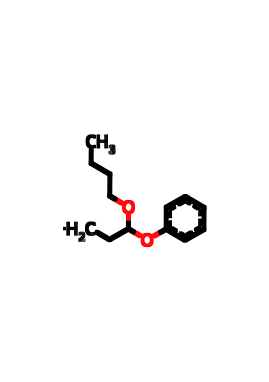 [CH2]CC(OCCCC)Oc1ccccc1